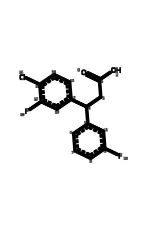 O=C(O)CC(c1cccc(F)c1)c1ccc(Cl)c(F)c1